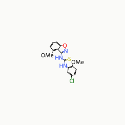 COc1ccc(Cl)cc1NC(=S)Nc1noc2cccc(OC)c12